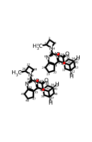 CC1CCN1c1nc2c(c(N3C[C@H]4C[C@@H](C3)C4CC(=O)O)n1)CCC2.CC1CCN1c1nc2c(c(N3C[C@H]4C[C@@H](C3)C4CC(=O)O)n1)CCC2